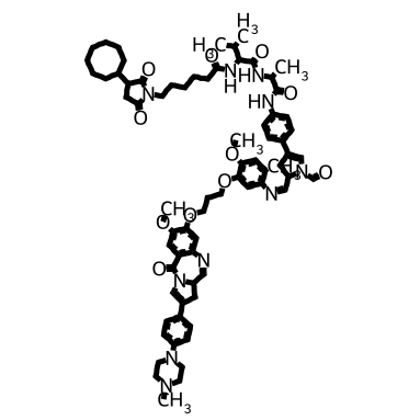 COc1cc2c(cc1OCCCOc1cc(/N=C\C3CC(c4ccc(NC(=O)C(C)NC(=O)C(NC(=O)CCCCCN5C(=O)CC(C6CCCCCCC6)C5=O)C(C)C)cc4)=CN3C=O)c(C)cc1OC)N=CC1CC(c3ccc(N4CCN(C)CC4)cc3)=CN1C2=O